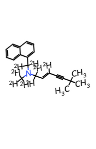 [2H]/C(C#CC(C)(C)C)=C\C([2H])([2H])N(C([2H])([2H])[2H])C([2H])([2H])c1cccc2ccccc12